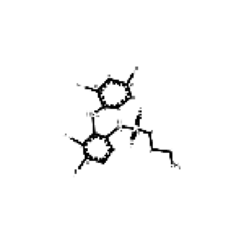 CCCCS(=O)(=O)Nc1ccc(F)c(F)c1Nc1ccc(I)cc1F